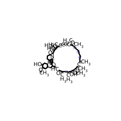 CO[C@H]1CCCC[C@@H](C)[C@@](O)(OC)C(=O)C(=O)N2CCC[C@@H]3C(C[C@@H]4CC[C@@H](O)[C@H](OC)C4)[C@H](CC(=O)[C@H](C)/C=C(\C)[C@@H](O)[C@@H](OC)C(=O)[C@H](C)C[C@H](C)/C=C/C=C/C=C/1C)OC(=O)[C@H]32